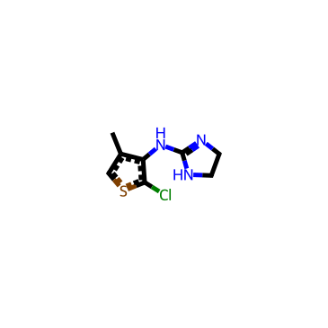 Cc1csc(Cl)c1NC1=NCCN1